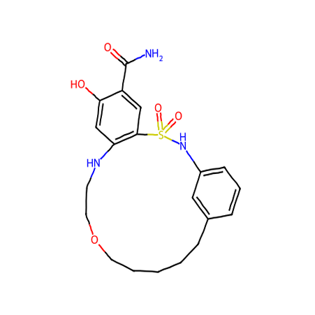 NC(=O)c1cc2c(cc1O)NCCOCCCCCc1cccc(c1)NS2(=O)=O